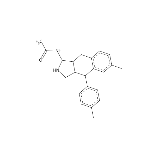 Cc1ccc(C2c3cc(C)ccc3CC3C(NC(=O)C(F)(F)F)NCC23)cc1